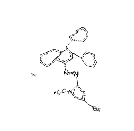 C[n+]1cc(Br)sc1N=Nc1c(-c2ccccc2)n(-c2ccccc2)c2ccccc12.[Br-]